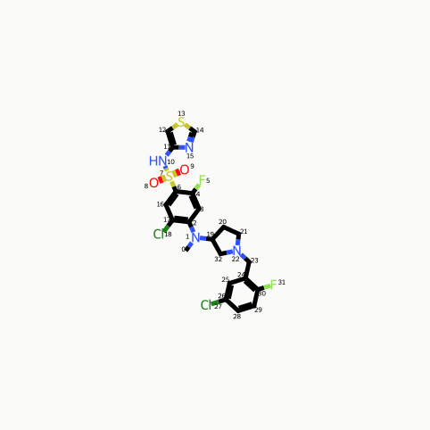 CN(c1cc(F)c(S(=O)(=O)Nc2cscn2)cc1Cl)C1CCN(Cc2cc(Cl)ccc2F)C1